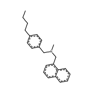 CCCCc1ccc(CN(C)Cc2cccc3ccccc23)cc1